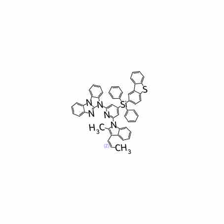 C/C=C\c1c(C)n(-c2cc([Si](c3ccccc3)(c3ccccc3)c3ccc4sc5ccccc5c4c3)cc(-n3c4ccccc4n4c5ccccc5nc34)n2)c2ccccc12